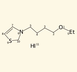 CCOCCCCN1C=CSC1.I